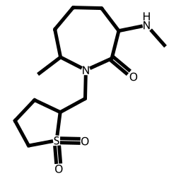 CNC1CCCC(C)N(CC2CCCS2(=O)=O)C1=O